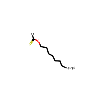 CCCCCCCCCCCCCCOC(=S)CC